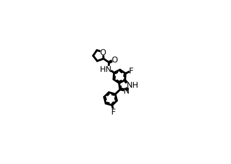 O=C(Nc1cc(F)c2[nH]nc(-c3cccc(F)c3)c2c1)C1CCCO1